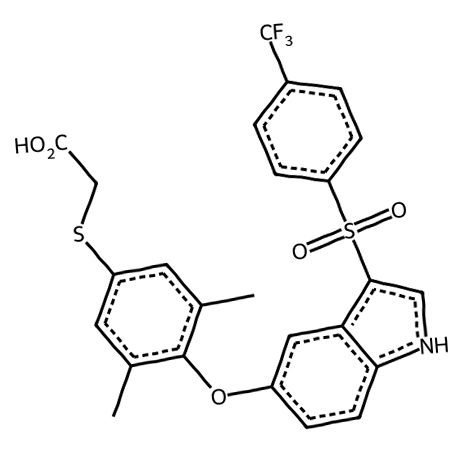 Cc1cc(SCC(=O)O)cc(C)c1Oc1ccc2[nH]cc(S(=O)(=O)c3ccc(C(F)(F)F)cc3)c2c1